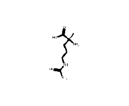 C[C@@](N)(CCCNC(=N)N)C(=O)O